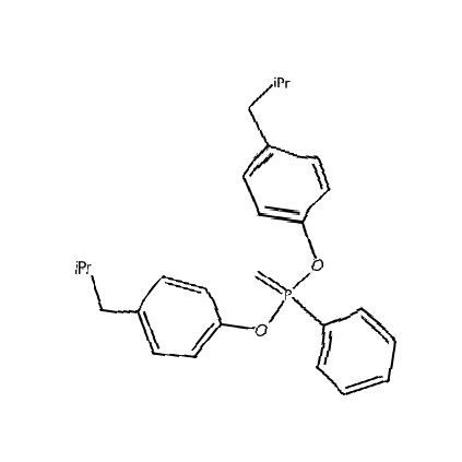 C=P(Oc1ccc(CC(C)C)cc1)(Oc1ccc(CC(C)C)cc1)c1ccccc1